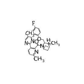 Cc1cnc(-c2ccc(C)nc2C(=O)N2C3CC(C3)[C@@H](C)C2COc2ccc(F)cc2)nc1